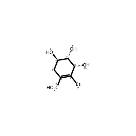 CCC1=C(C(=O)O)C[C@@H](O)[C@H](O)[C@@H]1O